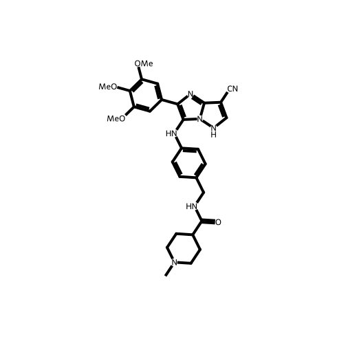 COc1cc(-c2nc3c(C#N)c[nH]n3c2Nc2ccc(CNC(=O)C3CCN(C)CC3)cc2)cc(OC)c1OC